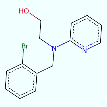 OCCN(Cc1ccccc1Br)c1ccccn1